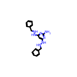 Nc1nc(NNCc2ccccc2)cc(NNCc2ccccc2)n1